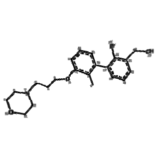 Cc1c(OCCCN2CCOCC2)cccc1-c1cccc(CO)c1Br